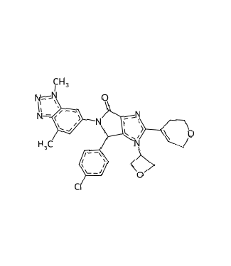 Cc1cc(N2C(=O)c3nc(C4=CCOCC4)n(C4COC4)c3C2c2ccc(Cl)cc2)cc2c1nnn2C